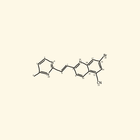 Cc1ccnc(/C=C/c2ccc3c(C#N)cc(Br)cc3n2)n1